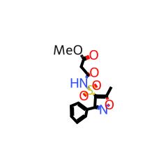 COC(=O)CC(=O)NS(=O)(=O)c1c(-c2ccccc2)noc1C